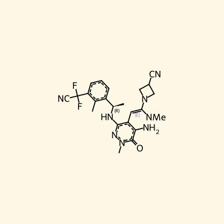 CN/C(=C\c1c(N[C@H](C)c2cccc(C(F)(F)C#N)c2C)nn(C)c(=O)c1N)N1CC(C#N)C1